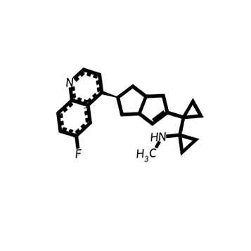 CNC1(C2(C3=CC4C[C@@H](c5ccnc6ccc(F)cc56)CC4C3)CC2)CC1